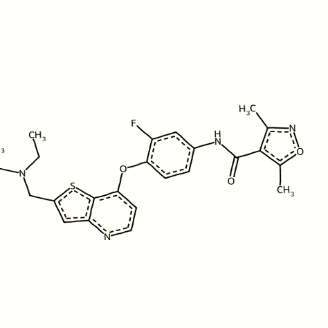 CCN(CC)Cc1cc2nccc(Oc3ccc(NC(=O)c4c(C)noc4C)cc3F)c2s1